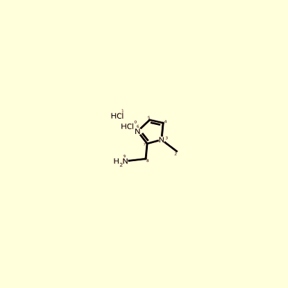 Cl.Cl.Cn1ccnc1CN